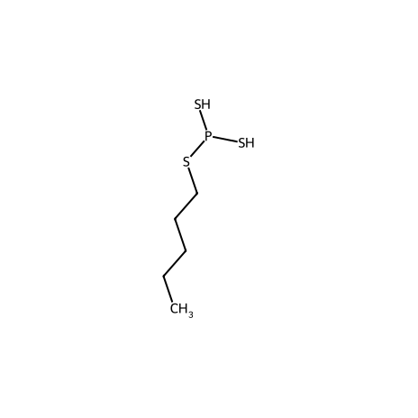 CCCCCSP(S)S